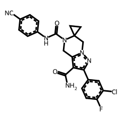 N#Cc1ccc(NC(=O)N2Cc3c(C(N)=O)c(-c4ccc(F)c(Cl)c4)nn3CC23CC3)cc1